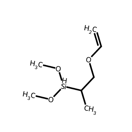 C=COCC(C)[SiH](OC)OC